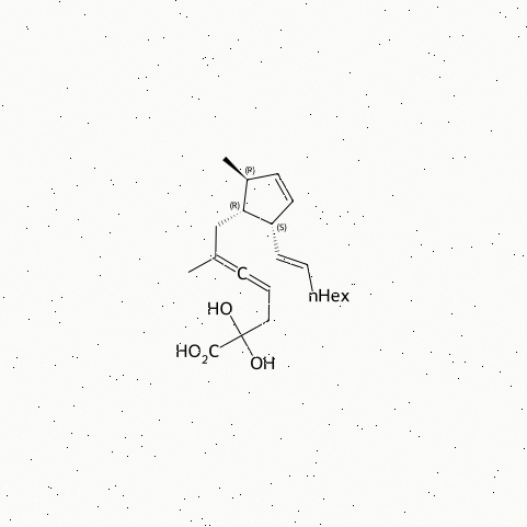 CCCCCCC=C[C@H]1C=C[C@H](C)[C@H]1CC(C)=C=CCC(O)(O)C(=O)O